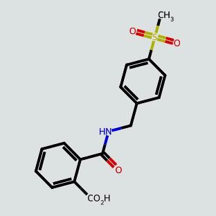 CS(=O)(=O)c1ccc(CNC(=O)c2ccccc2C(=O)O)cc1